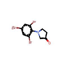 O=C1CCN(c2c(Br)cc(Br)cc2Br)C1